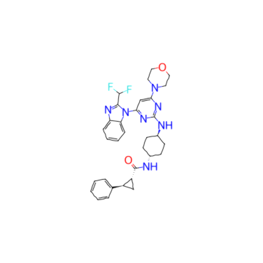 O=C(N[C@H]1CC[C@H](Nc2nc(N3CCOCC3)cc(-n3c(C(F)F)nc4ccccc43)n2)CC1)[C@@H]1C[C@H]1c1ccccc1